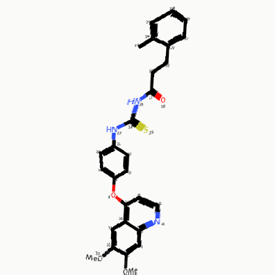 COc1cc2nccc(Oc3ccc(NC(=S)NC(=O)CCc4ccccc4C)cc3)c2cc1OC